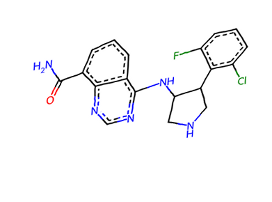 NC(=O)c1cccc2c(NC3CNCC3c3c(F)cccc3Cl)ncnc12